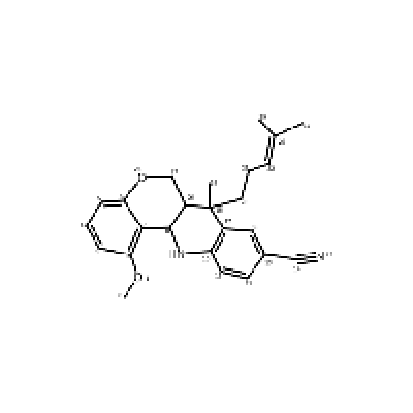 COc1cccc2c1C1Nc3ccc(C#N)cc3C(C)(CCC=C(C)C)C1CO2